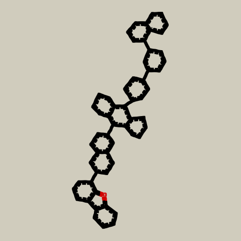 c1cc(-c2ccc(-c3c4ccccc4c(-c4ccc5cc(-c6cccc7c6oc6ccccc67)ccc5c4)c4ccccc34)cc2)cc(-c2cccc3ccccc23)c1